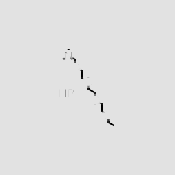 Br.CCOCCOCCOCCOCN(C)C